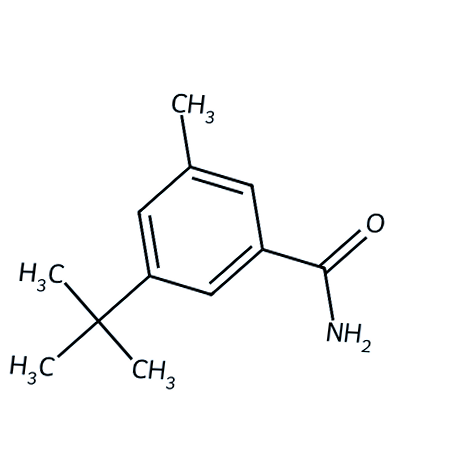 Cc1cc(C(N)=O)cc(C(C)(C)C)c1